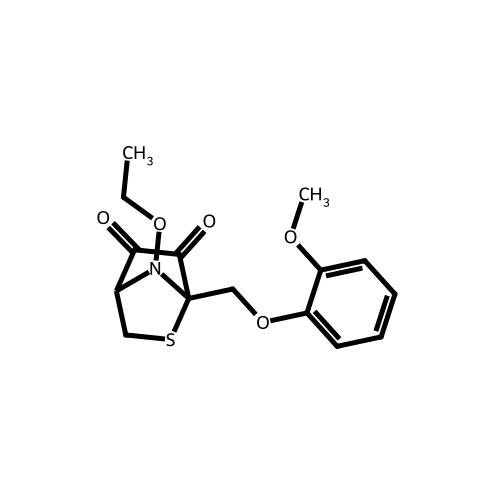 CCON1C2CSC1(COc1ccccc1OC)C(=O)C2=O